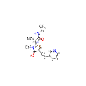 CCn1c(=O)c(=C=Cc2cccnc2)s/c1=C(/C#N)C(=O)NCC(F)(F)F